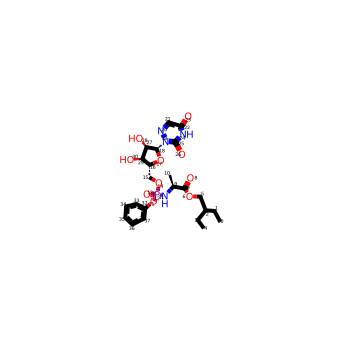 CCC(CC)COC(=O)[C@H](C)NP(=O)(OC[C@H]1O[C@@H](n2ncc(=O)[nH]c2=O)[C@H](O)[C@@H]1O)Oc1ccccc1